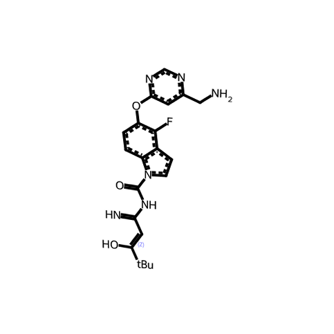 CC(C)(C)/C(O)=C/C(=N)NC(=O)n1ccc2c(F)c(Oc3cc(CN)ncn3)ccc21